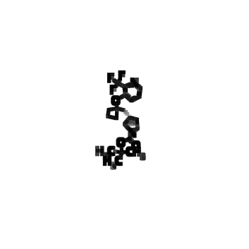 CC(C)(C)OC(=O)N1CC[C@@H](CC2(Oc3cccnc3C(F)(F)F)CCC2)C1